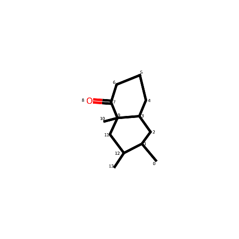 CC1CC2CCCC(=O)C2(C)CC1C